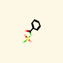 O=C([Cl+]S(=O)(=O)Cl)c1ccccc1